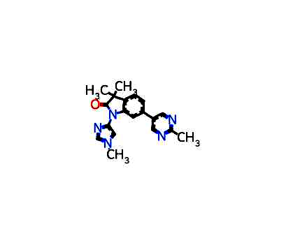 Cc1ncc(-c2ccc3c(c2)N(c2cn(C)cn2)C(=O)C3(C)C)cn1